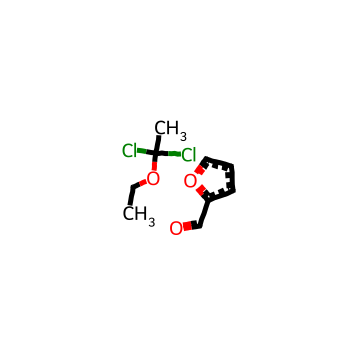 CCOC(C)(Cl)Cl.O=Cc1ccco1